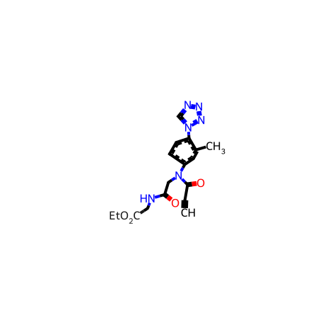 C#CC(=O)N(CC(=O)NCC(=O)OCC)c1ccc(-n2cnnn2)c(C)c1